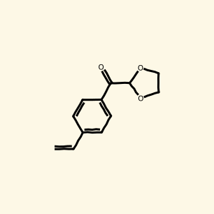 C=Cc1ccc(C(=O)C2OCCO2)cc1